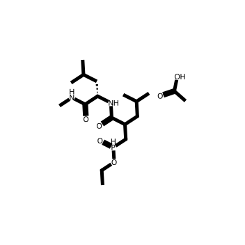 CC(=O)O.CCO[PH](=O)CC(CC(C)C)C(=O)N[C@@H](CC(C)C)C(=O)NC